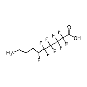 CCCCC(F)C(F)(F)C(F)(F)C(F)(F)C(F)(F)C(=O)O